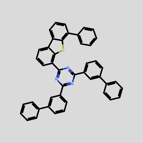 c1ccc(-c2cccc(-c3nc(-c4cccc(-c5ccccc5)c4)nc(-c4cccc5c4sc4c(-c6ccccc6)cccc45)n3)c2)cc1